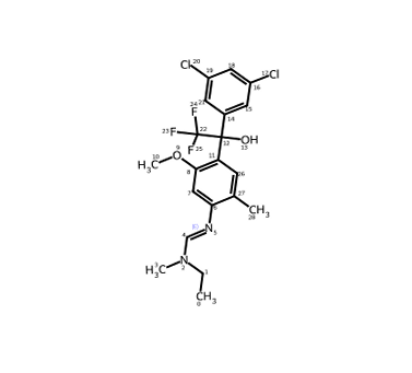 CCN(C)/C=N/c1cc(OC)c(C(O)(c2cc(Cl)cc(Cl)c2)C(F)(F)F)cc1C